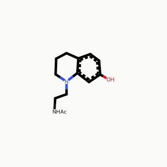 CC(=O)NCCN1CCCc2ccc(O)cc21